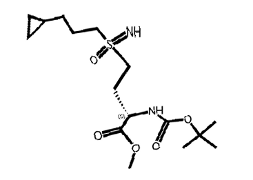 COC(=O)[C@H](CCS(=N)(=O)CCCC1CC1)NC(=O)OC(C)(C)C